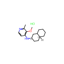 COc1c(N[C@@H]2CC[C@H]3CCCCC3C2)ccnc1C.Cl